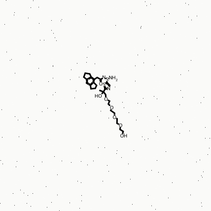 CC(O)(COCCOCCOCCOCCO)c1ncc(/S(N)=N\C(=O)Cc2c3c(cc4c2CCC4)CCC3)s1